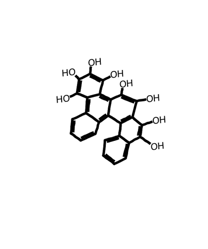 Oc1c(O)c(O)c2c(c1O)c1ccccc1c1c2c(O)c(O)c2c(O)c(O)c3ccccc3c21